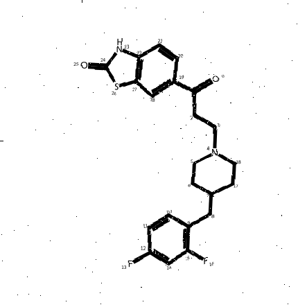 O=C(CCN1CCC(Cc2ccc(F)cc2F)CC1)c1ccc2[nH]c(=O)sc2c1